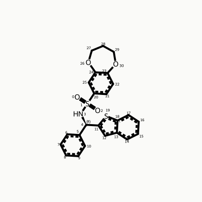 O=S(=O)(N[C@H](c1ccccc1)c1cc2ccccc2s1)c1ccc2c(c1)OCCCO2